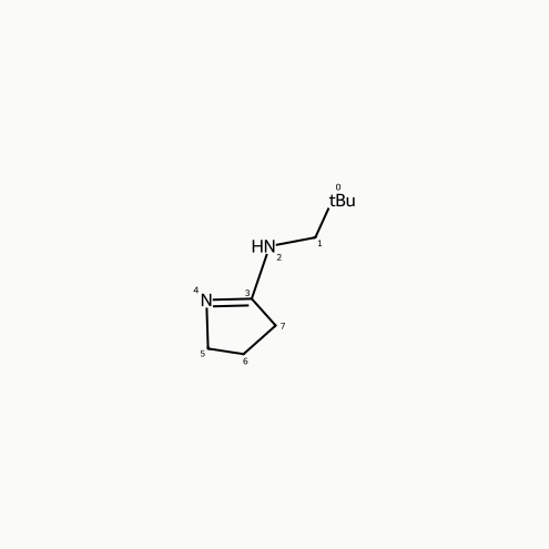 CC(C)(C)CNC1=NCCC1